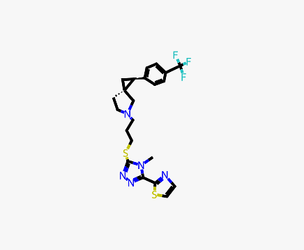 Cn1c(SCCCN2CC[C@@]3(C[C@H]3c3ccc(C(F)(F)F)cc3)C2)nnc1-c1nccs1